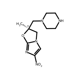 C[C@]1(CN2CCNCC2)Cn2cc([N+](=O)[O-])nc2O1